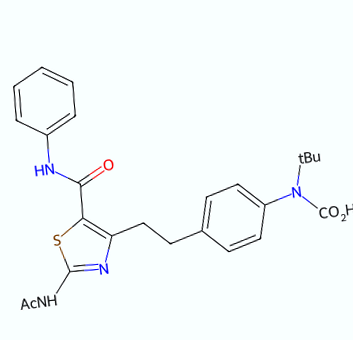 CC(=O)Nc1nc(CCc2ccc(N(C(=O)O)C(C)(C)C)cc2)c(C(=O)Nc2ccccc2)s1